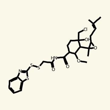 COC1C(C(=O)NC(=O)CSSc2nc3ccccc3s2)CCC(O)(CCl)C1C1(C)OC1CC=C(C)C